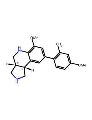 COc1ccc(-c2cc(OC)c3c(c2)[C@@H]2CNC[C@@H]2CN3)c(C)c1